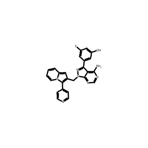 Nc1ncnc2c1c(-c1cc(O)cc(F)c1)nn2Cc1cc2ccccn2c1-c1ccncc1